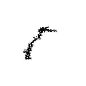 C=CC(CCNC)NC(=C)c1cc(N2CC(C(=O)NCCCCCCN3CCN(c4ccc(C5CN(CC6=C(C)CCC=C6F)CC5N(C)C)cc4)CC3)C2)ccc1N